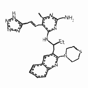 CCC(Nc1nc(N)nc(C)c1C=Cc1nnn[nH]1)c1cc2ccccc2nc1N1CCSCC1